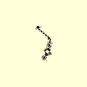 C[C@@H]1[C@@H]2O[P@](=O)(S)OC[C@H]3O[C@@H](n4cnc5c(NC(=O)OCCN(C)C(=O)CCOCCOCCOCCOCCN6C(=O)C=CC6=O)ncnc54)[C@H](F)[C@@H]3O[P@](=O)(S)OCC2O[C@H]1n1cnc2c(N)ncnc21